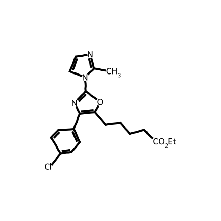 CCOC(=O)CCCCc1oc(-n2ccnc2C)nc1-c1ccc(Cl)cc1